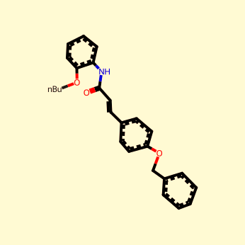 CCCCOc1ccccc1NC(=O)/C=C/c1ccc(OCc2ccccc2)cc1